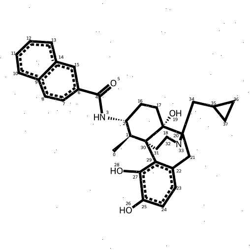 C[C@H]1[C@H](NC(=O)c2ccc3ccccc3c2)CC[C@@]2(O)C3Cc4ccc(O)c(O)c4[C@@]12CCN3CC1CC1